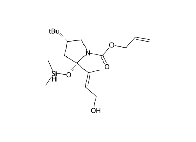 C=CCOC(=O)N1C[C@@H](C(C)(C)C)C[C@]1(O[SiH](C)C)C(C)=CCO